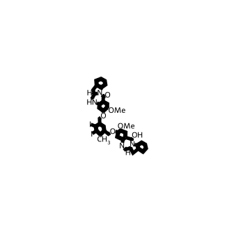 COc1cc2c(cc1OCc1cc(COc3cc4c(cc3OC)C(=O)N3c5ccccc5C[C@H]3CN4)c(I)c(I)c1C)N=C[C@@H]1Cc3ccccc3N1C2O